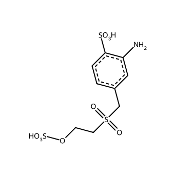 Nc1cc(CS(=O)(=O)CCOS(=O)(=O)O)ccc1S(=O)(=O)O